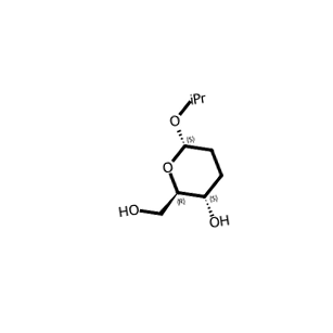 CC(C)O[C@@H]1CC[C@H](O)[C@@H](CO)O1